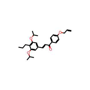 C=CCOc1ccc(C(=O)C=Cc2cc(OC(C)C)c(CCC)c(OC(C)C)c2)cc1